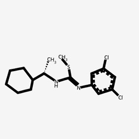 CSC(=Nc1cc(Cl)cc(Cl)c1)N[C@@H](C)C1CCCCC1